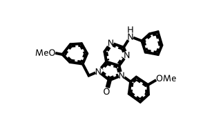 COc1cccc(Cn2c(=O)n(-c3cccc(OC)c3)c3nc(Nc4ccccc4)ncc32)c1